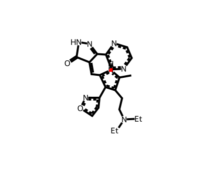 CCN(CC)CCc1c(C)[nH]c(/C=C2/C(=O)NN=C2c2cnccn2)c1-c1ccon1